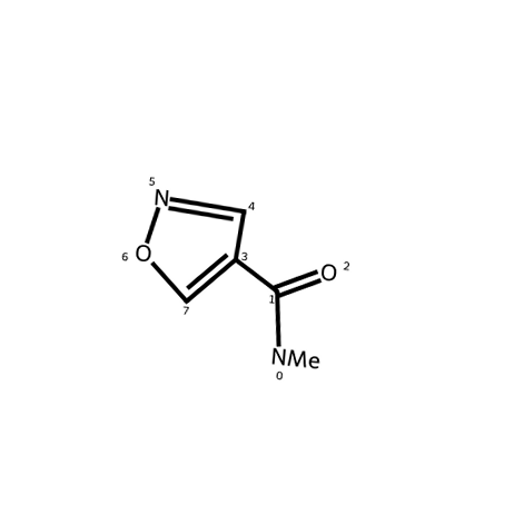 CNC(=O)c1cnoc1